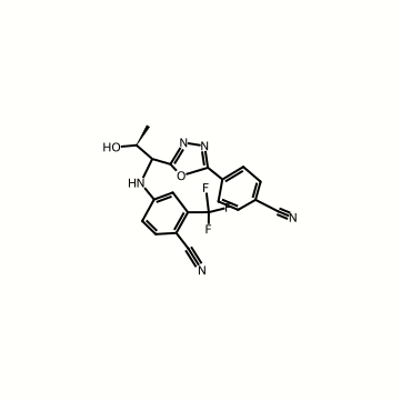 C[C@H](O)C(Nc1ccc(C#N)c(C(F)(F)F)c1)c1nnc(-c2ccc(C#N)cc2)o1